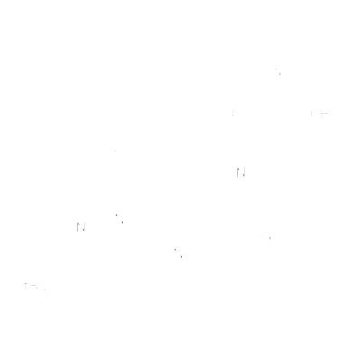 CC(C)(O)CN1Cc2c([nH]c3cc(C(C)(C)C)nn3c2=O)C1=O